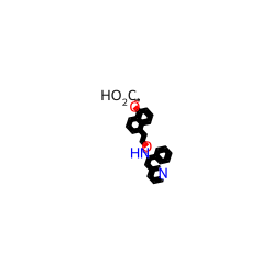 O=C(O)COc1cccc2c1CCCC2CCONC(Cc1cccnc1)c1ccccc1